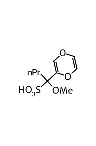 CCCC(OC)(C1=COC=CO1)S(=O)(=O)O